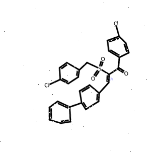 O=C(/C(=C/c1ccc(-c2ccccc2)cc1)S(=O)(=O)Cc1ccc(Cl)cc1)c1ccc(Cl)cc1